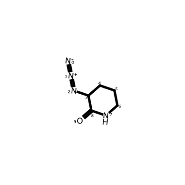 [N-]=[N+]=NC1CCCNC1=O